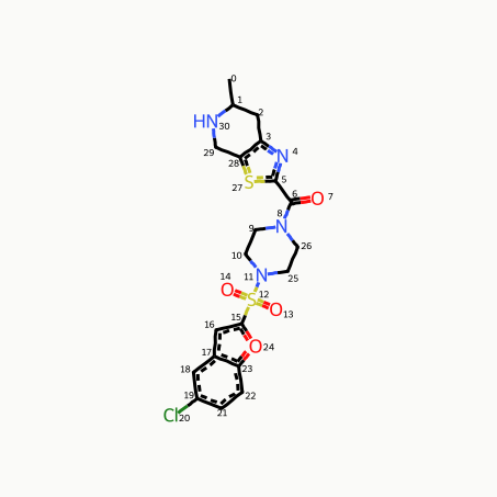 CC1Cc2nc(C(=O)N3CCN(S(=O)(=O)c4cc5cc(Cl)ccc5o4)CC3)sc2CN1